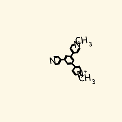 C[n+]1ccc(-c2cc(-c3ccncc3)cc(-c3cc[n+](C)cc3)c2)cc1